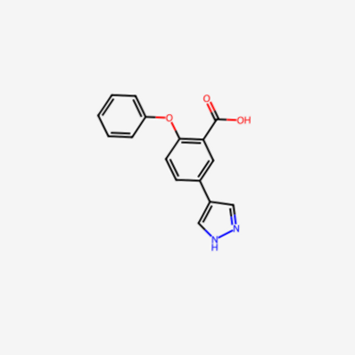 O=C(O)c1cc(-c2cn[nH]c2)ccc1Oc1ccccc1